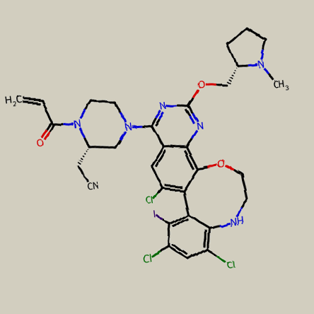 C=CC(=O)N1CCN(c2nc(OC[C@@H]3CCCN3C)nc3c4c(c(Cl)cc23)-c2c(I)c(Cl)cc(Cl)c2NCCO4)C[C@@H]1CC#N